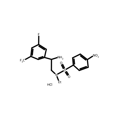 CCN(CC(N)c1cc(F)cc(C(F)(F)F)c1)S(=O)(=O)c1ccc([N+](=O)[O-])cc1.Cl